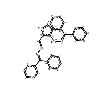 C(=N\N=C(c1ccccc1)c1ccccc1)/c1sccc1NN=C(c1ccccc1)c1ccccc1